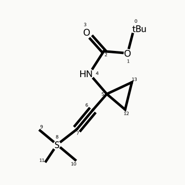 CC(C)(C)OC(=O)NC1(C#CS(C)(C)C)CC1